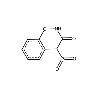 O=C1NOc2ccccc2C1P(=O)=O